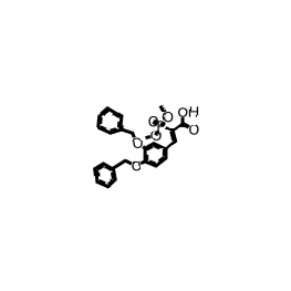 COP(=O)(OC)/C(=C\c1ccc(OCc2ccccc2)c(OCc2ccccc2)c1)C(=O)O